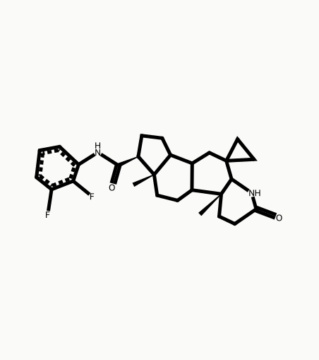 C[C@]12CCC(=O)NC1C1(CC1)CC1C2CC[C@@]2(C)C1CC[C@@H]2C(=O)Nc1cccc(F)c1F